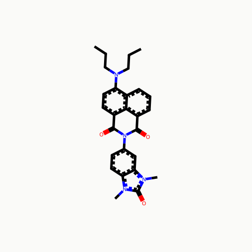 CCCN(CCC)c1ccc2c3c(cccc13)C(=O)N(c1ccc3c(c1)n(C)c(=O)n3C)C2=O